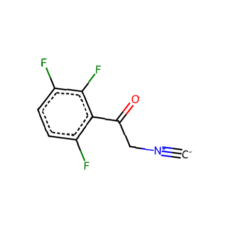 [C-]#[N+]CC(=O)c1c(F)ccc(F)c1F